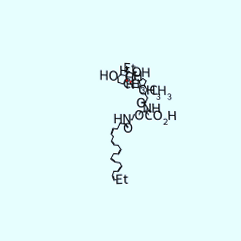 CC/C=C\C/C=C\C/C=C\C/C=C\C/C=C\C/C=C\CCC(=O)NCCOCC(NC(=O)CC[C@@H](C)C1CC[C@H]2[C@@H]3[C@H](O)[C@H](CC)[C@@H]4C[C@H](O)CC[C@]4(C)[C@H]3CC[C@]12C)C(=O)O